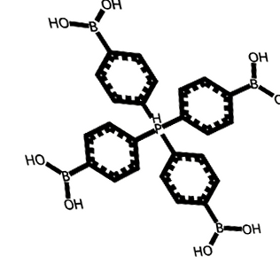 OB(O)c1ccc([PH](c2ccc(B(O)O)cc2)(c2ccc(B(O)O)cc2)c2ccc(B(O)O)cc2)cc1